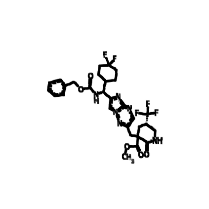 COC(=O)C1(Cc2cnc3nc([C@@H](NC(=O)OCc4ccccc4)C4CCC(F)(F)CC4)cn3n2)C[C@H](C(F)(F)F)CNC1=O